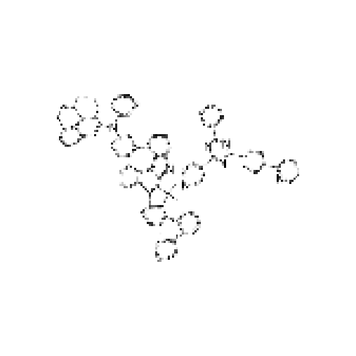 CC1(C)c2c(ccc3c4ccccc4c4ccccc4c23)-c2c1c1c(c3ccccc23)c2c(-c3cccc(N(c4ccccc4)c4cc5cccc6c5c5c4CC=CC5=CC6)c3)cccc2n1-c1cc(-c2nc(-c3ccccc3)nc(-c3ccc(-c4ccccn4)cc3)n2)ccn1